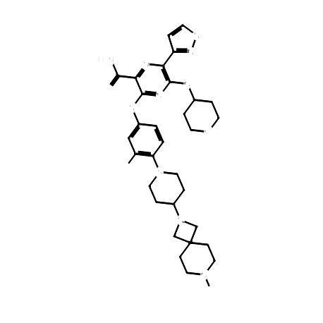 Cc1cc(Nc2nc(NC3CCOCC3)c(-c3cc[nH]n3)nc2C(N)=O)ccc1N1CCC(N2CC3(CCN(C)CC3)C2)CC1